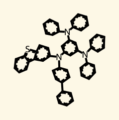 c1ccc(-c2ccc(N(c3cc(N(c4ccccc4)c4ccccc4)cc(N(c4ccccc4)c4ccccc4)c3)c3ccc4sc5ccccc5c4c3)cc2)cc1